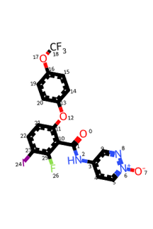 O=C(Nc1cc[n+]([O-])nc1)c1c(Oc2ccc(OC(F)(F)F)cc2)ccc(I)c1F